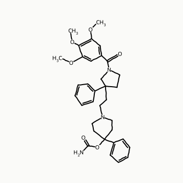 COc1cc(C(=O)N2CCC(CCN3CCC(OC(N)=O)(c4ccccc4)CC3)(c3ccccc3)C2)cc(OC)c1OC